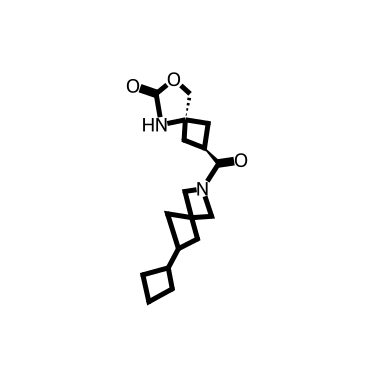 O=C1N[C@]2(CO1)C[C@H](C(=O)N1CC3(CC(C4CCC4)C3)C1)C2